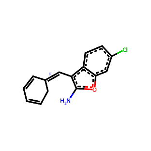 Nc1oc2cc(Cl)ccc2c1/C=C1/C=CC=CC1